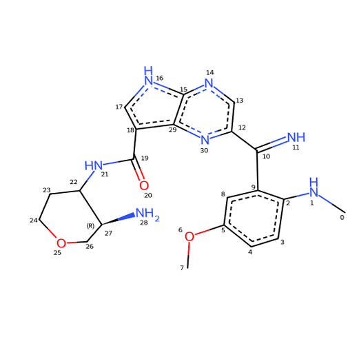 CNc1ccc(OC)cc1C(=N)c1cnc2[nH]cc(C(=O)NC3CCOC[C@@H]3N)c2n1